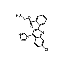 CCOC(=O)c1ccccc1-c1cc(-n2ccnc2)c2ccc(Cl)cc2n1